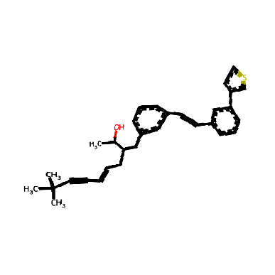 CC(O)C(CC=CC#CC(C)(C)C)Cc1cccc(C=Cc2cccc(-c3ccsc3)c2)c1